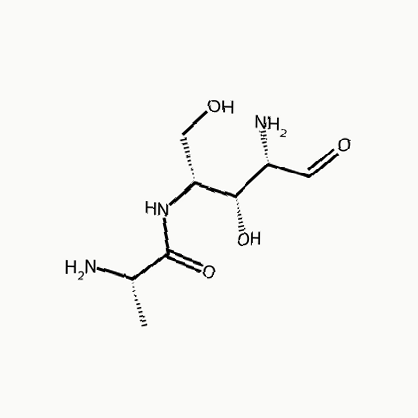 C[C@H](N)C(=O)N[C@H](CO)[C@@H](O)[C@H](N)C=O